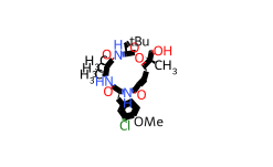 COc1ccc(C[C@H]2NC(=O)/C=C/C[C@@H]([C@H](C)CO)OC(=O)[C@H](CC(C)(C)C)NC(=O)C(C)(C)[C@H](C)NC2=O)cc1Cl